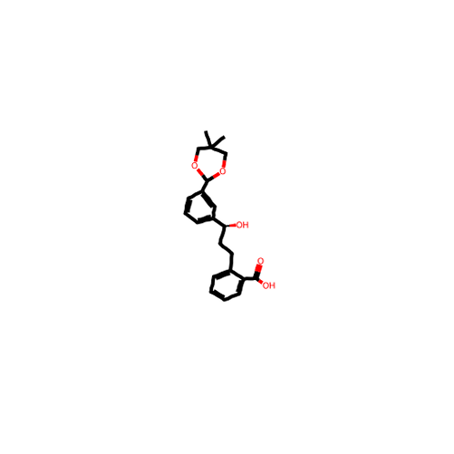 CC1(C)COC(c2cccc([C@@H](O)CCc3ccccc3C(=O)O)c2)OC1